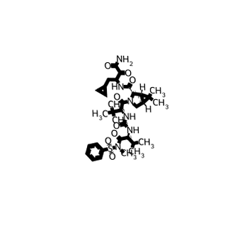 CC(C)[C@H](NC(=O)N[C@H](C(=O)N1C[C@H]2[C@@H]([C@H]1C(=O)NC(CC1CC1)C(=O)C(N)=O)C2(C)C)C(C)(C)C)C(=O)N(C)S(=O)(=O)c1ccccc1